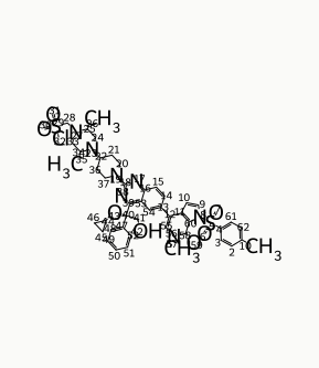 Cc1ccc(S(=O)(=O)n2ccc3c(-c4ccc5nc(N6CCC(N7C[C@@H](C)N(CS(=O)(=O)Cl)C[C@@H]7C)CC6)nc(C(CO)(OC6CC6)c6ccccc6)c5c4)cn(C)c(=O)c32)cc1